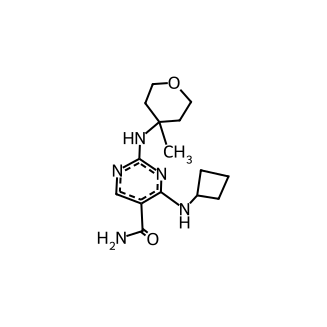 CC1(Nc2ncc(C(N)=O)c(NC3CCC3)n2)CCOCC1